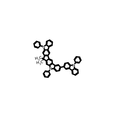 CC1(C)c2cc3c(cc2-c2cc4c5cc(-c6ccc7c(c6)c6ccccc6n7-c6ccccc6)ccc5n(-c5ccccc5)c4cc21)c1ccccc1n3-c1ccccc1